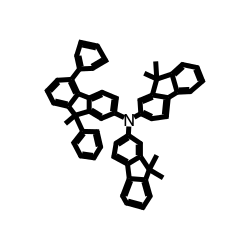 CC1(C)c2ccccc2-c2ccc(N(c3ccc4c(c3)C(C)(C)c3ccccc3-4)c3ccc4c(c3)C(C)(c3ccccc3)c3cccc(-c5ccccc5)c3-4)cc21